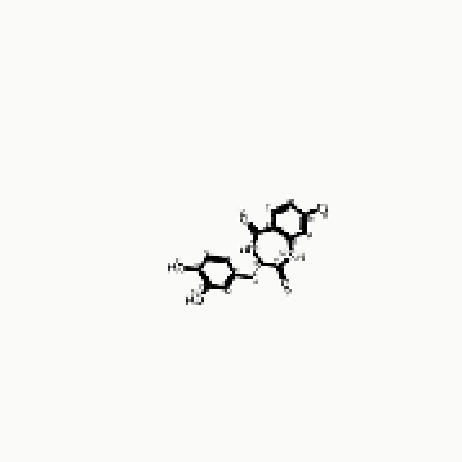 O=C1N[C@@H](Cc2ccc(O)c(O)c2)C(=O)Nc2cc(Cl)ccc21